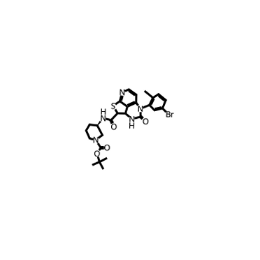 Cc1ccc(Br)cc1N1C(=O)NC2c3c1ccnc3SC2C(=O)N[C@@H]1CCCN(C(=O)OC(C)(C)C)C1